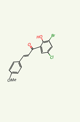 COc1ccc(/C=C/C(=O)c2cc(Cl)cc(Br)c2O)cc1